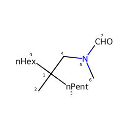 CCCCCCC(C)(CCCCC)CN(C)C=O